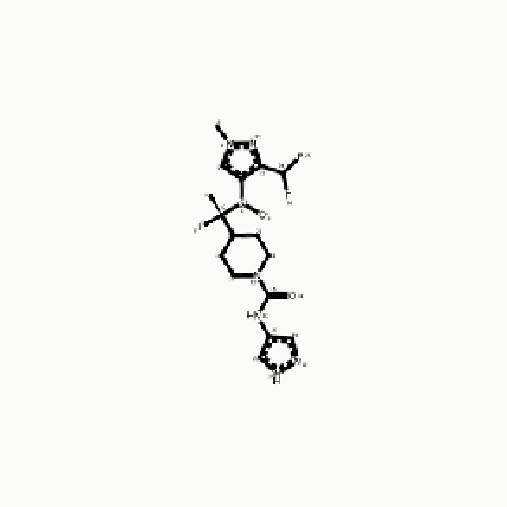 Cn1cc([S+]([O-])[C@@](C)(F)C2CCN(C(=O)Nc3cn[nH]c3)CC2)c(C(F)F)n1